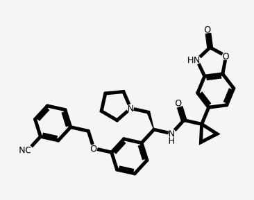 N#Cc1cccc(COc2cccc([C@@H](CN3CCCC3)NC(=O)C3(c4ccc5oc(=O)[nH]c5c4)CC3)c2)c1